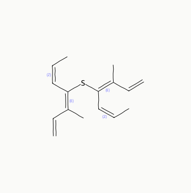 C=C/C(C)=C(\C=C/C)SC(/C=C\C)=C(\C)C=C